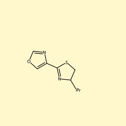 CC(C)C1CSC(c2cocn2)=N1